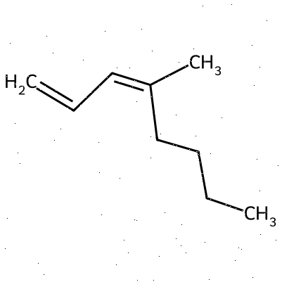 C=C/C=C(/C)CCCC